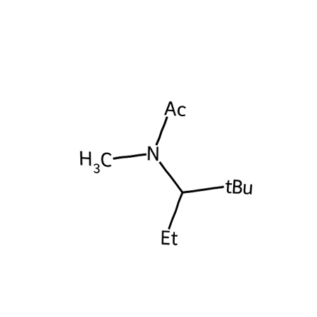 CCC(N(C)C(C)=O)C(C)(C)C